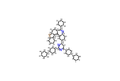 c1ccc(-c2ccc(-c3cc(-c4ccc5nc(-c6ccccc6)c6ccc7sc8ccccc8c7c6c5c4)nc(-c4ccc(-c5ccccc5)cc4)n3)cc2)cc1